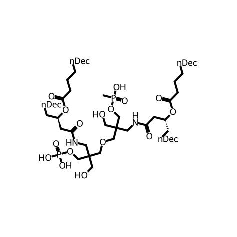 CCCCCCCCCCCCCC(=O)O[C@H](CCCCCCCCCCC)CC(=O)NCC(CO)(COCC(CO)(CNC(=O)C[C@@H](CCCCCCCCCCC)OC(=O)CCCCCCCCCCCCC)COP(=O)(O)O)COP(C)(=O)O